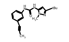 CC#Cc1cccc(NC(=O)Nc2cc(C(C)(C)C)nn2C)c1